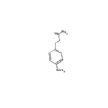 Nc1ccc(CCNP)cc1